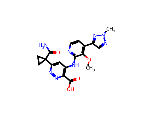 COc1c(-c2cnn(C)n2)ccnc1Nc1cc(C2(C(N)=O)CC2)nnc1C(=O)O